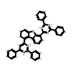 C1=c2sc3c(-c4nc(-c5ccccc5)nc(-c5ccccc5)n4)cccc3c2=C(c2cc(-c3ccccc3)nc(-c3ccccc3)n2)CC1